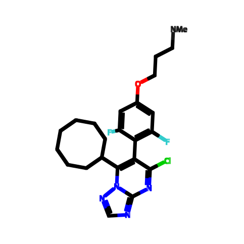 CNCCCOc1cc(F)c(-c2c(Cl)nc3ncnn3c2C2CCCCCCC2)c(F)c1